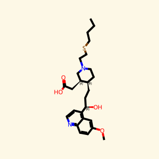 CCCCSCCN1CC[C@@H](CC[C@@H](O)c2ccnc3ccc(OC)cc23)[C@@H](CC(=O)O)C1